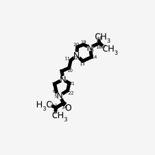 CC(C)C(=O)N1CCN(CCCN2CCN(C(C)C)CC2)CC1